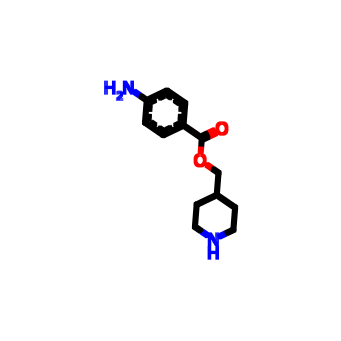 Nc1ccc(C(=O)OCC2CCNCC2)cc1